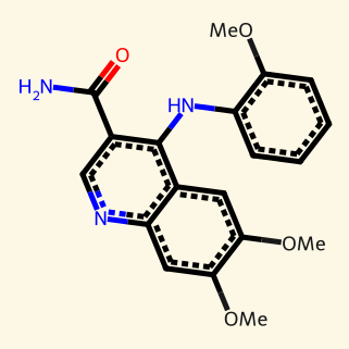 COc1ccccc1Nc1c(C(N)=O)cnc2cc(OC)c(OC)cc12